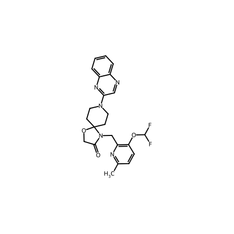 Cc1ccc(OC(F)F)c(CN2C(=O)COC23CCN(c2cnc4ccccc4n2)CC3)n1